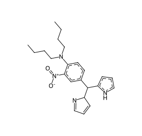 CCCCN(CCCC)c1ccc(C(c2ccc[nH]2)C2C=CC=N2)cc1[N+](=O)[O-]